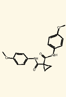 COc1ccc(NC(=O)C2(C(=O)Nc3ccc(OC)cc3)CC2)cc1